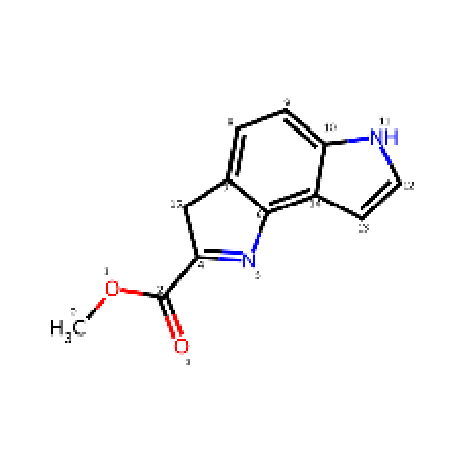 COC(=O)C1=Nc2c(ccc3[nH]ccc23)C1